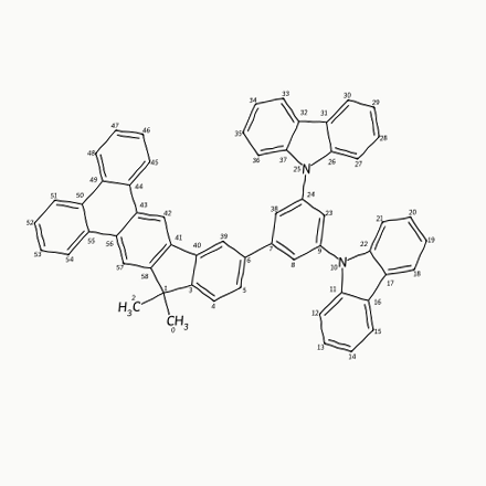 CC1(C)c2ccc(-c3cc(-n4c5ccccc5c5ccccc54)cc(-n4c5ccccc5c5ccccc54)c3)cc2-c2cc3c4ccccc4c4ccccc4c3cc21